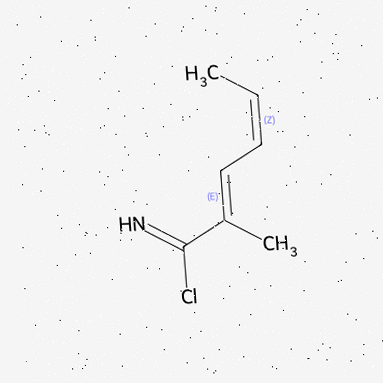 C/C=C\C=C(/C)C(=N)Cl